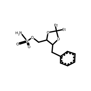 CCC1(CC)OC(COS(N)(=O)=O)C(Cc2ccccc2)O1